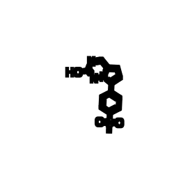 CS(=O)(=O)c1ccc(-c2ccc3cnc(O)nn23)cc1